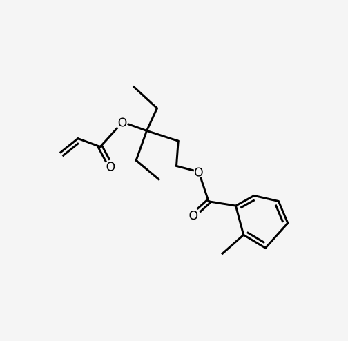 C=CC(=O)OC(CC)(CC)CCOC(=O)c1ccccc1C